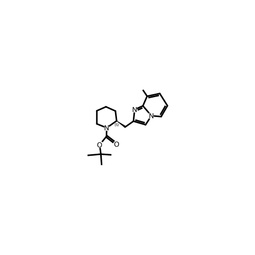 Cc1cccn2cc(C[C@@H]3CCCCN3C(=O)OC(C)(C)C)nc12